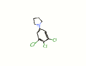 Clc1cc(N2CCCC2)cc(Cl)c1Cl